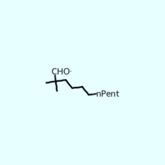 CCCCCCCCCC(C)(C)[C]=O